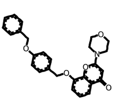 O=c1cc(N2CCOCC2)oc2c(OCc3ccc(OCc4ccccc4)cc3)cccc12